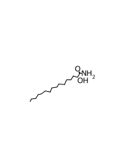 CCCCCCCCCCCCCCC(O)C(N)=O